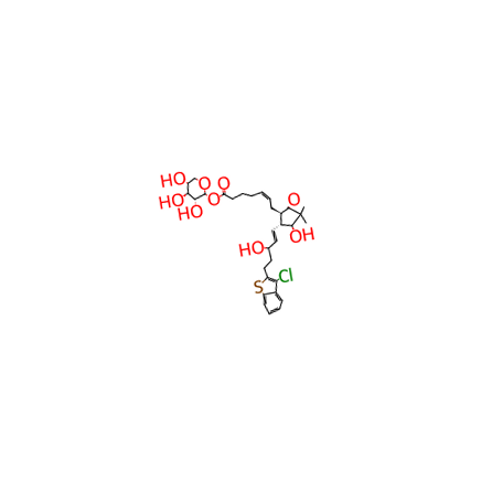 CC1(C)C(=O)[C@H](C/C=C\CCCC(=O)OC2OC[C@@H](O)[C@H](O)[C@H]2O)[C@@H](/C=C/C(O)CCc2sc3ccccc3c2Cl)[C@@H]1O